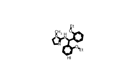 CCOc1ccccc1C(NC1=NCCN1C)c1ccccc1OCC.I